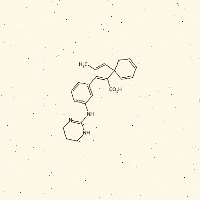 CC=CC1(C(=Cc2cccc(NC3=NCCCN3)c2)C(=O)O)C=CC=CC1